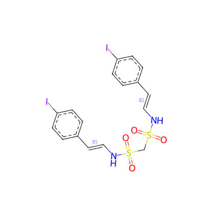 O=S(=O)(CS(=O)(=O)N/C=C/c1ccc(I)cc1)N/C=C/c1ccc(I)cc1